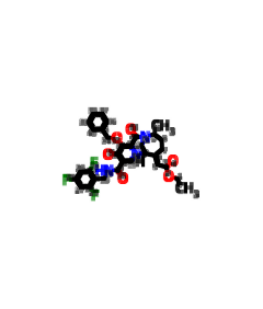 CCOC(=O)/C=C1\CC[C@H](C)N2C[C@H]1n1cc(C(=O)NCc3c(F)cc(F)cc3F)c(=O)c(OCc3ccccc3)c1C2=O